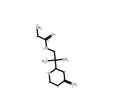 C=C1CCOC(C(C)(C)COC(=O)CC)C1